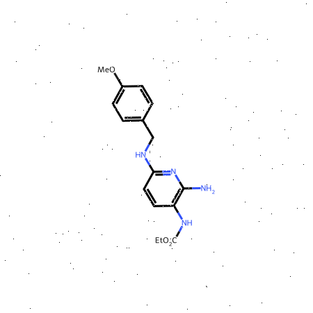 CCOC(=O)Nc1ccc(NCc2ccc(OC)cc2)nc1N